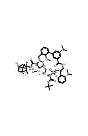 COc1c(CN2O[C@@H](CO)[C@H]([C@H](C)O)[C@H]2C(=O)N[C@H]2C[C@H]3C[C@@H]([C@@H]2C)C3(C)C)cccc1-c1cc(C(=O)N[C@H](CN(C)C)[C@H](NS(=O)(=O)NC(=O)OC(C)(C)C)c2ccccc2)cc(N(C)C)c1